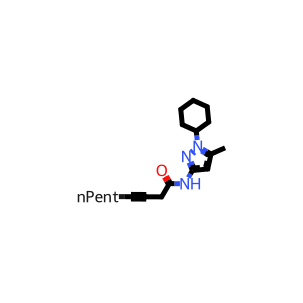 CCCCCC#CCC(=O)Nc1cc(C)n(C2CCCCC2)n1